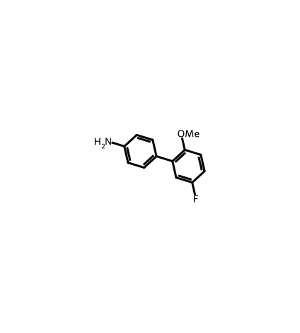 COc1ccc(F)cc1-c1ccc(N)cc1